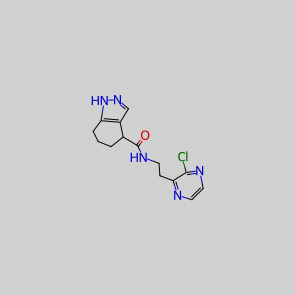 O=C(NCCc1nccnc1Cl)C1CCCc2[nH]ncc21